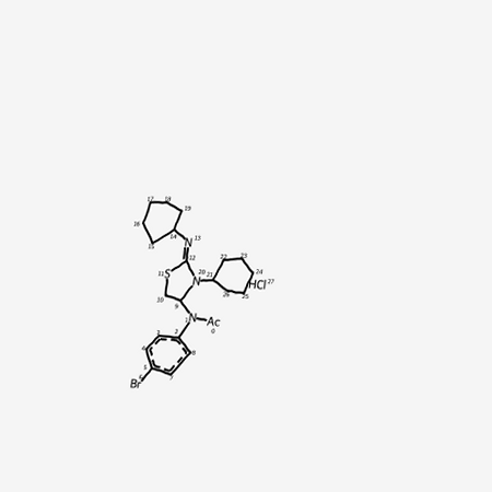 CC(=O)N(c1ccc(Br)cc1)C1CSC(=NC2CCCCC2)N1C1CCCCC1.Cl